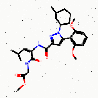 COC(=O)CNC(=O)/C(=C\C(C)C)NC(=O)c1cc(-c2c(OC)cccc2OC)n(C2CCCC(C)C2)n1